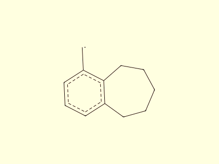 [CH2]c1cccc2c1CCCCC2